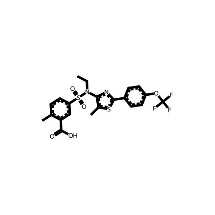 CCN(c1nc(-c2ccc(OC(F)(F)F)cc2)sc1C)S(=O)(=O)c1ccc(C)c(C(=O)O)c1